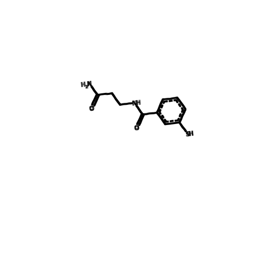 NC(=O)CCNC(=O)c1cccc(S)c1